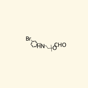 CC(C)(CCNCc1cccc(Br)c1)OC=O